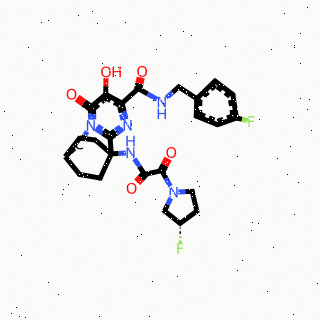 O=C(NC12CCC(CC1)Cn1c2nc(C(=O)NCc2ccc(F)cc2)c(O)c1=O)C(=O)N1CC[C@H](F)C1